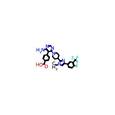 CCn1cc(-c2ccc(F)c(C(F)(F)F)c2)nc1C1CCN(c2ncnc(N)c2-c2ccc(C(=O)O)cc2)CC1